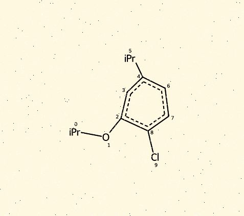 CC(C)Oc1cc(C(C)C)ccc1Cl